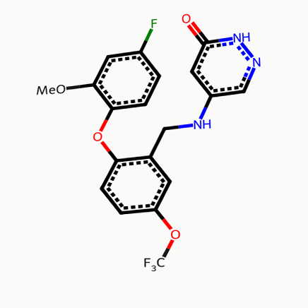 COc1cc(F)ccc1Oc1ccc(OC(F)(F)F)cc1CNc1cn[nH]c(=O)c1